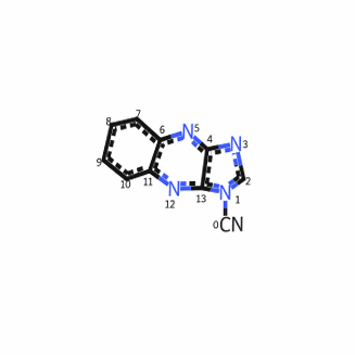 N#Cn1cnc2nc3ccccc3nc21